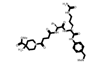 CNCc1ccc(NC(=O)[C@H](CCCNC(N)=O)NC(=O)[C@@H](NC(=O)CCC(=O)N2CCC(C)(C(=O)OC)CC2)C(C)C)cc1